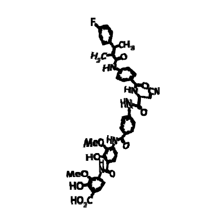 COc1c(NC(=O)c2ccc(NC(=O)c3ccc(NC(=O)[C@H](CC#N)NC(=O)c4ccc(NC(=O)/C(C)=C(\C)c5ccc(F)cc5)cc4)cc3)c(OC)c2O)ccc(C(=O)O)c1O